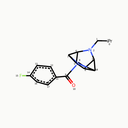 CC(C)CN1C2C3=C4C1C4N(C(=O)c1ccc(F)cc1)C32